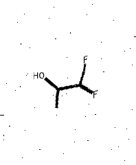 CC(O)C(F)F